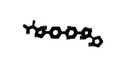 CN[C@@H](C)c1ncc(-c2ccc(-c3ncc(-c4cnc([C@@H]5CCCN5)[nH]4)cn3)cc2)[nH]1